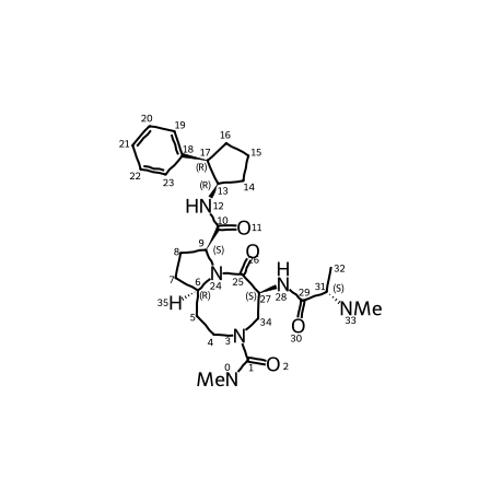 CNC(=O)N1CC[C@H]2CC[C@@H](C(=O)N[C@@H]3CCC[C@@H]3c3ccccc3)N2C(=O)[C@@H](NC(=O)[C@H](C)NC)C1